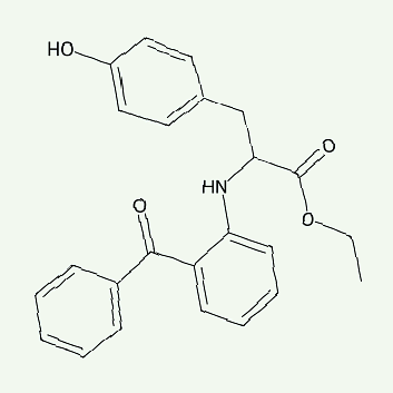 CCOC(=O)C(Cc1ccc(O)cc1)Nc1ccccc1C(=O)c1ccccc1